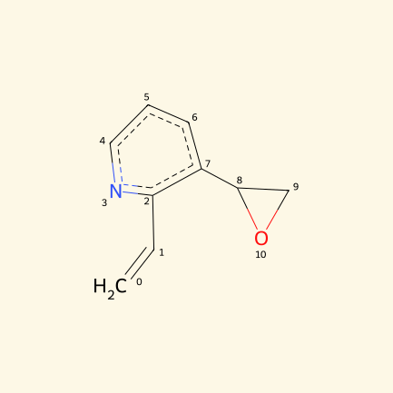 C=Cc1ncccc1C1CO1